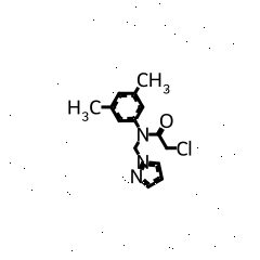 Cc1cc(C)cc(N(Cn2cccn2)C(=O)CCl)c1